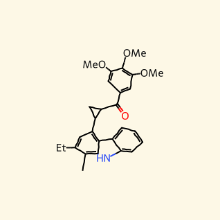 CCc1cc(C2CC2C(=O)c2cc(OC)c(OC)c(OC)c2)c2c([nH]c3ccccc32)c1C